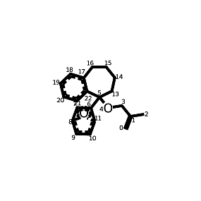 C=C(C)COC1(c2cc3ccc2o3)CCCCc2ccccc21